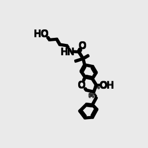 CC(C)(C(=O)NCCCCO)c1ccc2c(c1)OC[C@@H](Cc1ccccc1)[C@@H]2O